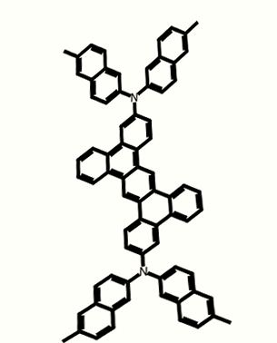 Cc1ccc2cc(N(c3ccc4cc(C)ccc4c3)c3ccc4c(c3)c3ccccc3c3cc5c6ccc(N(c7ccc8cc(C)ccc8c7)c7ccc8cc(C)ccc8c7)cc6c6ccccc6c5cc43)ccc2c1